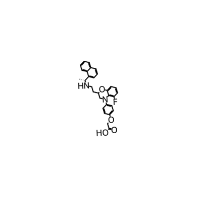 C[C@@H](NCCC1CN(c2ccc(OCC(=O)O)cc2)c2c(F)cccc2O1)c1cccc2ccccc12